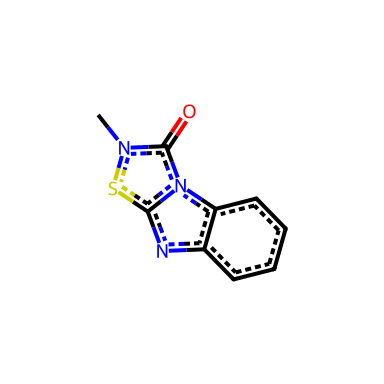 Cn1sc2nc3ccccc3n2c1=O